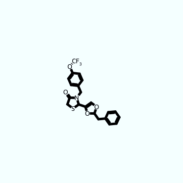 O=C1CSC(C2=COC(Cc3ccccc3)O2)N1Cc1ccc(OC(F)(F)F)cc1